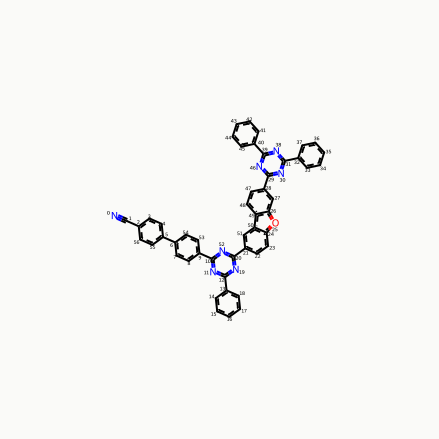 N#Cc1ccc(-c2ccc(-c3nc(-c4ccccc4)nc(-c4ccc5oc6cc(-c7nc(-c8ccccc8)nc(-c8ccccc8)n7)ccc6c5c4)n3)cc2)cc1